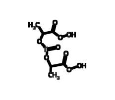 CC([O][Ti](=[O])[O]C(C)C(=O)OO)C(=O)OO